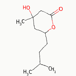 CC(C)CCC1CC(C)(O)CC(=O)O1